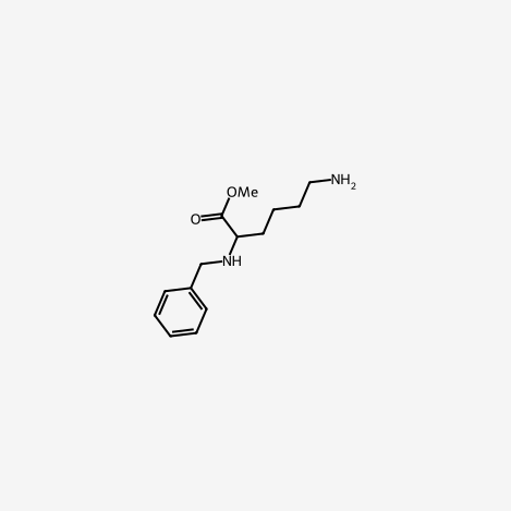 COC(=O)C(CCCCN)NCc1ccccc1